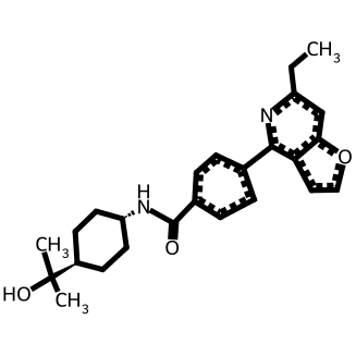 CCc1cc2occc2c(-c2ccc(C(=O)N[C@H]3CC[C@H](C(C)(C)O)CC3)cc2)n1